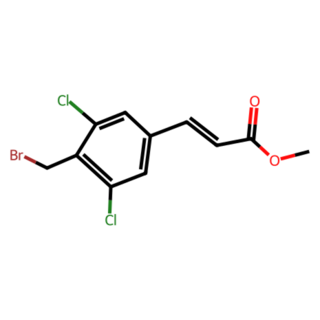 COC(=O)/C=C/c1cc(Cl)c(CBr)c(Cl)c1